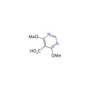 COc1ncnc(OC)c1C(=O)O